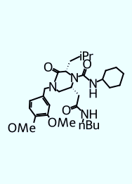 CCCCNC(=O)C[C@@H]1CN(Cc2ccc(OC)c(OC)c2)C(=O)[C@H](CC(C)C)N1C(=O)NC1CCCCC1